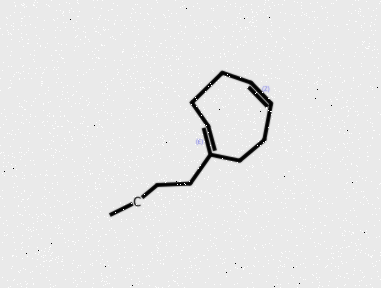 CCCC/C1=C\CC/C=C\CC1